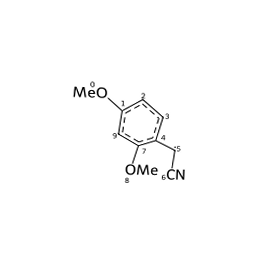 COc1ccc([CH]C#N)c(OC)c1